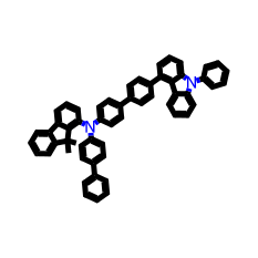 CC1(C)c2ccccc2-c2cccc(N(c3ccc(-c4ccccc4)cc3)c3ccc(-c4ccc(-c5cccc6c5c5ccccc5n6-c5ccccc5)cc4)cc3)c21